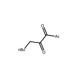 CCCCCC(=O)C(=O)C(C)=O